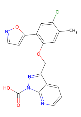 Cc1cc(OCc2nn(C(=O)O)c3ncccc23)c(-c2ccno2)cc1Cl